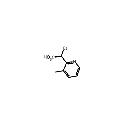 CCC(C(=O)O)c1ncccc1C